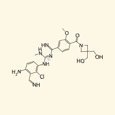 CN/C(=N\C(=N)c1ccc(C(=O)N2CC(CO)(CO)C2)c(OC)c1)Nc1ccc(N)c(C=N)c1Cl